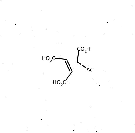 CC(=O)CC(=O)O.O=C(O)/C=C\C(=O)O